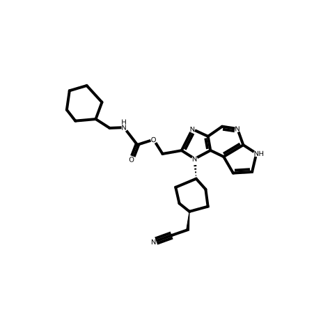 N#CC[C@H]1CC[C@H](n2c(COC(=O)NCC3CCCCC3)nc3cnc4[nH]ccc4c32)CC1